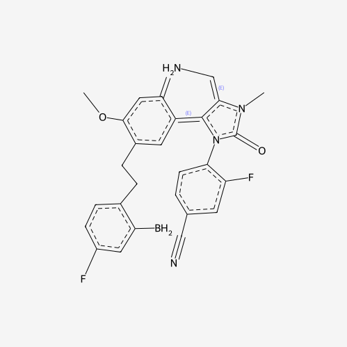 Bc1cc(F)ccc1CCc1c/c(=c2/c(=C\N)n(C)c(=O)n2-c2ccc(C#N)cc2F)c(=C)cc1OC